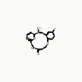 CN1CC2=CC(F)CC=C2OCCC(=O)NCC23CC=NN2C=CC1=N3